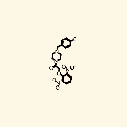 O=C(COc1c([N+](=O)[O-])cccc1[N+](=O)[O-])N1CCN(Cc2ccc(Cl)cc2)CC1